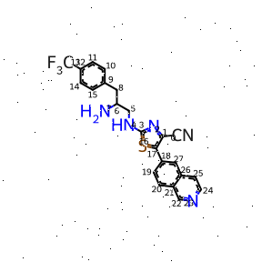 N#Cc1nc(NCC(N)Cc2ccc(C(F)(F)F)cc2)sc1-c1ccc2cnccc2c1